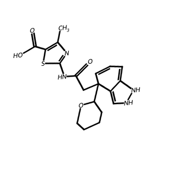 Cc1nc(NC(=O)CC2(C3CCCCO3)C=CC=C3NNC=C32)sc1C(=O)O